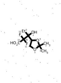 CCC(O)(C1COC(C)(C)O1)C(F)(F)C(=O)O